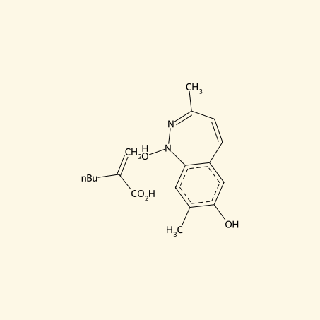 C=C(CCCC)C(=O)O.CC1=NN(O)c2cc(C)c(O)cc2C=C1